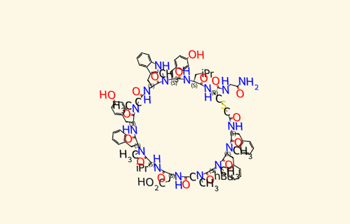 CCCC[C@H]1C(=O)N(C)CC(=O)N[C@@H](CC(=O)O)C(=O)N[C@@H](C(C)C)C(=O)N(C)[C@@H](Cc2ccccc2)C(=O)N[C@@H](Cc2ccc(O)cc2)C(=O)N(C)CC(=O)N[C@@H](Cc2c[nH]c3ccccc23)C(=O)N(C)[C@@H](Cc2ccc(O)cc2)C(=O)N[C@@H](CC(C)C)C(=O)N[C@H](C(=O)NCC(N)=O)CSCC(=O)N[C@@H](Cc2ccccc2)C(=O)N(C)[C@@H](Cc2ccccc2)C(=O)N1C